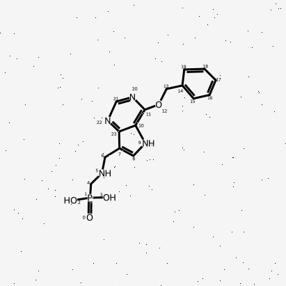 O=P(O)(O)CNCc1c[nH]c2c(OCc3ccccc3)ncnc12